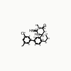 Cc1cc(Cl)cc(-c2ccc3c(c2)[C@]2(CCC3)CC(=O)N(C)C(=N)N2)c1